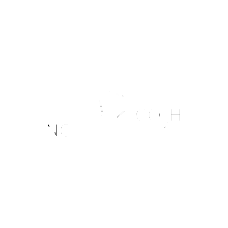 CC(C#N)Cc1cccc(C(=O)O)c1